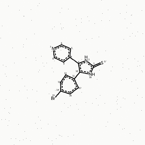 S=c1[nH]c(-c2ccncc2)c(-c2ccc(Br)cc2)[nH]1